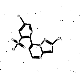 CCS(=O)(=O)c1cc(Br)cnc1-c1ccnc2cc(C(F)(F)F)nn12